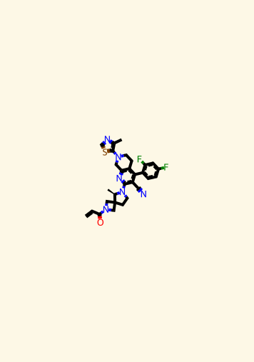 C=CC(=O)N1CC2(CCN(c3nc4c(c(-c5ccc(F)cc5F)c3C#N)CCN(c3scnc3C)C4)[C@@H]2C)C1